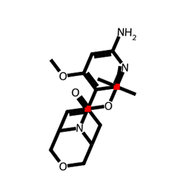 COc1cc(N)ncc1C1=CC2COCC(C1)N2C(=O)OC(C)(C)C